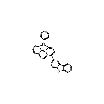 c1ccc(-n2c3cccc4ccc5c(-c6ccc7sc8ccccc8c7c6)ccc2c5c43)cc1